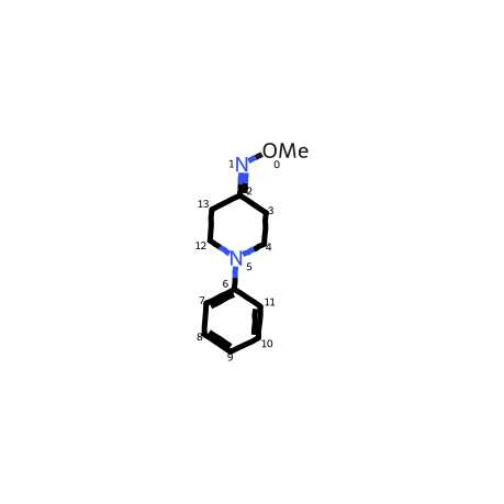 CON=C1CCN(c2ccccc2)CC1